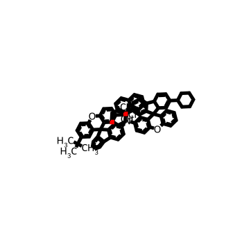 CC(C)(C)c1ccc2c(c1)C1(c3cc(C(C)(C)C)ccc3O2)c2ccccc2-c2ccc(N(c3ccc4c(c3)C3(c5ccccc5O4)c4cc(C5CCCCC5)ccc4C4C=CC(C5CCCCC5)=CC43)c3cccc4ccccc34)cc21